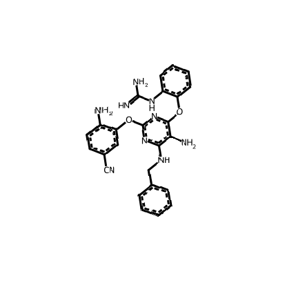 N#Cc1ccc(N)c(Oc2nc(NCc3ccccc3)c(N)c(Oc3ccccc3NC(=N)N)n2)c1